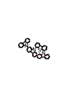 c1cc(-n2c3ccccc3c3ccccc32)c2sc3c(-n4c5ccccc5c5ccc(-n6c7ccccc7c7ccccc76)cc54)cccc3c2c1